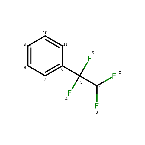 FC(F)C(F)(F)c1cc[c]cc1